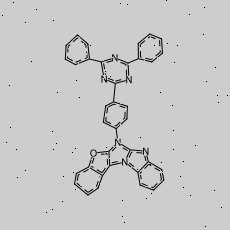 c1ccc(-c2nc(-c3ccccc3)nc(-c3ccc(-n4c5oc6ccccc6c5n5c6ccccc6nc45)cc3)n2)cc1